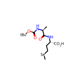 C[Se]CC[C@H](NC(=O)[C@H](C)NC(=O)OC(C)(C)C)C(=O)O